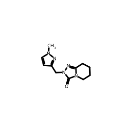 Cn1ccc(Cn2nc3n(c2=O)CCCC3)n1